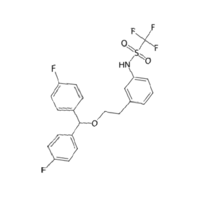 O=S(=O)(Nc1cccc(CCOC(c2ccc(F)cc2)c2ccc(F)cc2)c1)C(F)(F)F